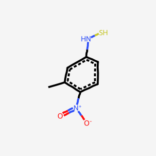 Cc1cc(NS)ccc1[N+](=O)[O-]